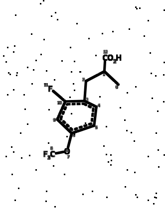 CC(Cc1ccc(OC(F)(F)F)cc1F)C(=O)O